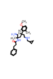 COc1ccc(C)c(C(C)(CCNCC2CC2)CC(C)(CN)NC(=O)CCc2ccccc2)c1